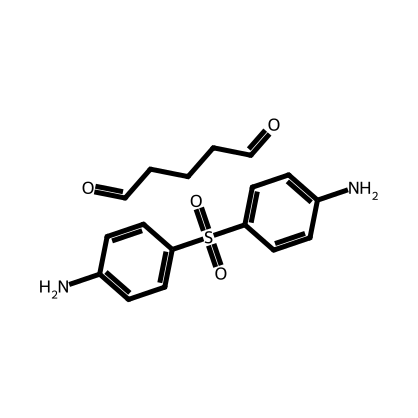 Nc1ccc(S(=O)(=O)c2ccc(N)cc2)cc1.O=CCCCC=O